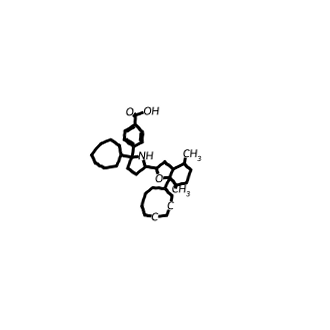 CC1CCC(C)C2(C3CCCCCCCC3)OC(C3CCC(c4ccc(C(=O)O)cc4)(C4CCCCCCC4)N3)CC12